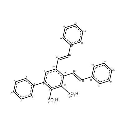 O=S(=O)(O)c1c(-c2ccccc2)cc(C=Cc2ccccc2)c(C=Cc2ccccc2)c1S(=O)(=O)O